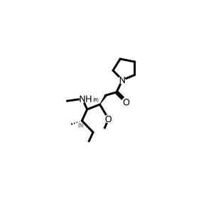 CC[C@H](C)C(NC)[C@@H](CC(=O)N1CCCC1)OC